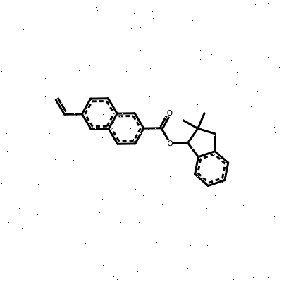 C=Cc1ccc2cc(C(=O)OC3c4ccccc4CC3(C)C)ccc2c1